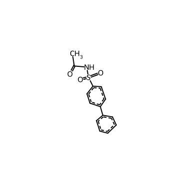 CC(=O)NS(=O)(=O)c1ccc(-c2ccccc2)cc1